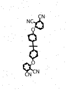 CC(C)(c1ccc(Oc2cccc(C#N)c2C#N)cc1)c1ccc(Oc2cccc(C#N)c2C#N)cc1